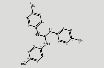 CC(C)(C)c1ccc(NC(Nc2ccc(C(C)(C)C)cc2)Nc2ccc(C(C)(C)C)cc2)cc1